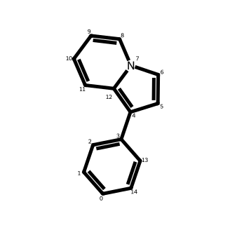 c1ccc(-c2ccn3ccccc23)cc1